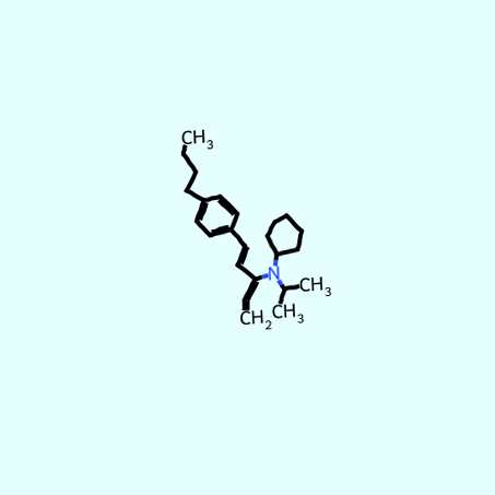 C=C=C(/C=C/c1ccc(CCCC)cc1)N(C(C)C)C1CCCCC1